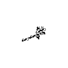 CCC[C@H](C(N)=O)[C@@H](CC(C)C)C(=O)N(O)[C@@H](CC(C)C)C(=S)NCCOCCOCCOC